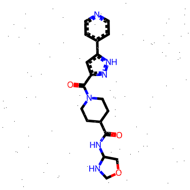 O=C(NC1COCN1)C1CCN(C(=O)c2cc(-c3ccncc3)[nH]n2)CC1